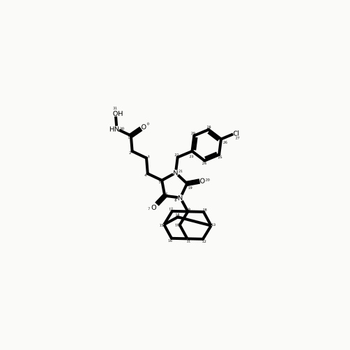 O=C(CCCC1C(=O)N(C23CC4CC(CC(C4)C2)C3)C(=O)N1Cc1ccc(Cl)cc1)NO